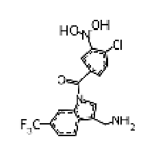 NCc1cn(C(=O)c2ccc(Cl)c(N(O)O)c2)c2cc(C(F)(F)F)ccc12